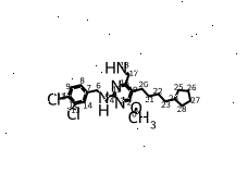 COc1nc(NCc2ccc(Cl)c(Cl)c2)nc(C=N)c1CCCCC1CCCC1